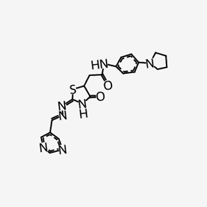 O=C(CC1S/C(=N/N=C/c2cncnc2)NC1=O)Nc1ccc(N2CCCC2)cc1